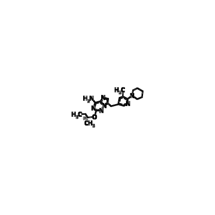 CC[C@@H](C)Oc1nc(N)c2ncc(Cc3cnc(N4CCCCC4)c(C)c3)n2n1